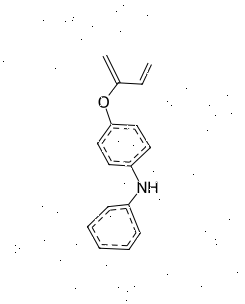 C=CC(=C)Oc1ccc(Nc2ccccc2)cc1